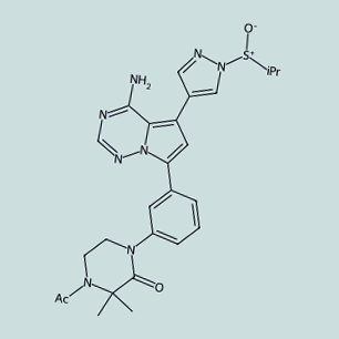 CC(=O)N1CCN(c2cccc(-c3cc(-c4cnn([S+]([O-])C(C)C)c4)c4c(N)ncnn34)c2)C(=O)C1(C)C